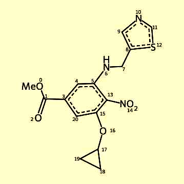 COC(=O)c1cc(NCc2cncs2)c([N+](=O)[O-])c(OC2CC2)c1